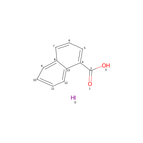 I.O=C(O)c1cccc2ccccc12